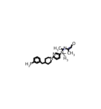 CC(=C/C=O)/N=C(/C)N(C)c1ccc(N2CCC(Cc3cccc(P)c3)CC2)nc1